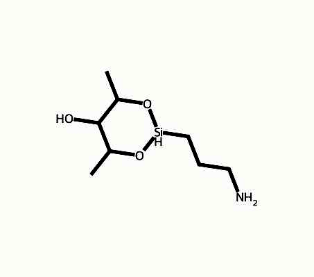 CC1O[SiH](CCCN)OC(C)C1O